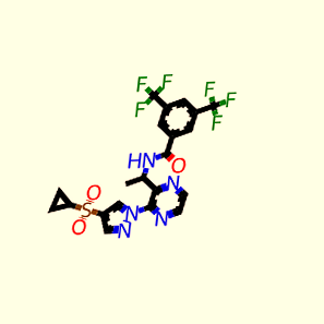 CC(NC(=O)c1cc(C(F)(F)F)cc(C(F)(F)F)c1)c1nccnc1-n1cc(S(=O)(=O)C2CC2)cn1